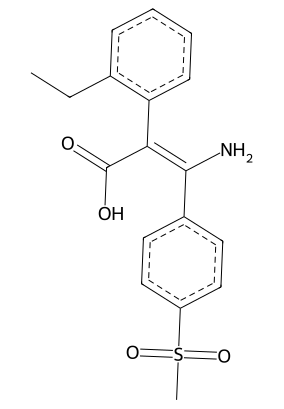 CCc1ccccc1C(C(=O)O)=C(N)c1ccc(S(C)(=O)=O)cc1